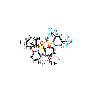 CC(C)(C)Oc1cccc(OC(C)(C)C)c1S(OS(=O)(=O)c1ccc(C(F)(F)F)cc1C(F)(F)F)(c1ccccc1)c1ccccc1